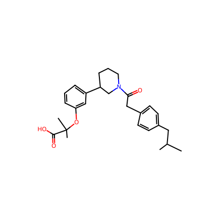 CC(C)Cc1ccc(CC(=O)N2CCCC(c3cccc(OC(C)(C)C(=O)O)c3)C2)cc1